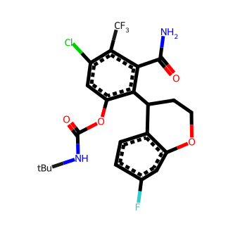 CC(C)(C)NC(=O)Oc1cc(Cl)c(C(F)(F)F)c(C(N)=O)c1C1CCOc2cc(F)ccc21